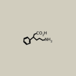 NCCCC(CC(=O)O)c1ccccc1